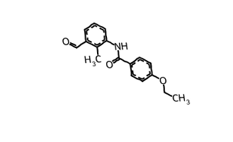 CCOc1ccc(C(=O)Nc2cccc(C=O)c2C)cc1